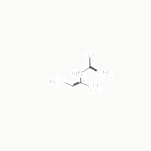 C=C(CC)N/C(C)=C\C